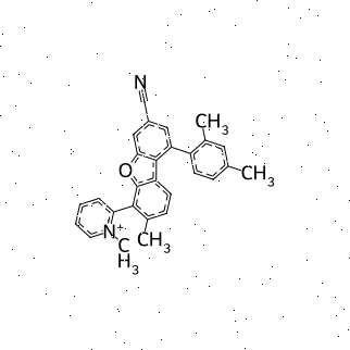 Cc1ccc(-c2cc(C#N)cc3oc4c(-c5cccc[n+]5C)c(C)ccc4c23)c(C)c1